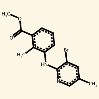 COC(=O)c1cccc(Nc2ncc(C)cc2Br)c1C